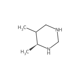 CC1CNCN[C@H]1C